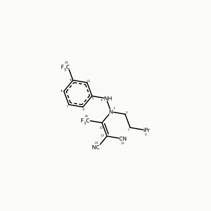 CC(C)CCN(Nc1cccc(C(F)(F)F)c1)C(=C(C#N)C#N)C(F)(F)F